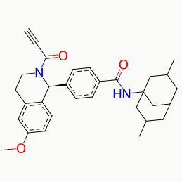 C#CC(=O)N1CCc2cc(OC)ccc2[C@@H]1c1ccc(C(=O)NC23CC(C)CC(CC(C)C2)C3)cc1